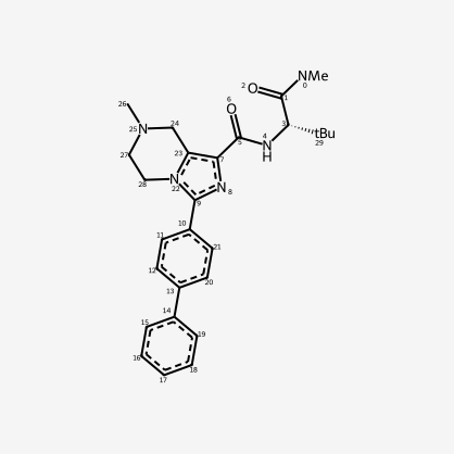 CNC(=O)[C@@H](NC(=O)c1nc(-c2ccc(-c3ccccc3)cc2)n2c1CN(C)CC2)C(C)(C)C